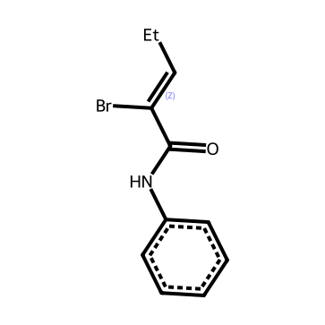 CC/C=C(\Br)C(=O)Nc1ccccc1